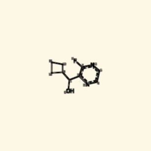 OC(c1nccnc1F)C1CCC1